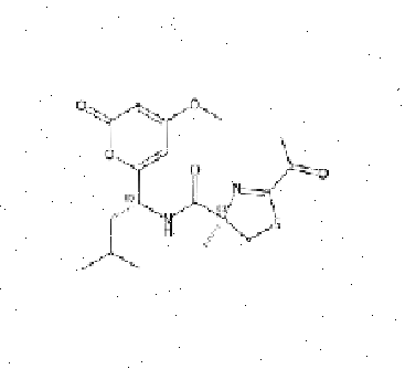 COc1cc([C@@H](CC(C)C)NC(=O)[C@]2(C)CSC(C(C)=O)=N2)oc(=O)c1